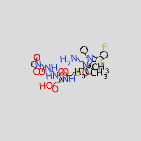 CC(C)(C)[C@H](c1cc(-c2cc(F)ccc2F)cn1Cc1ccccc1)N(CCCN)C(=O)CSCCC(=O)N[C@@H](CCC(=O)O)C(=O)NCCNC(=O)CN1C(=O)C=CC1=O